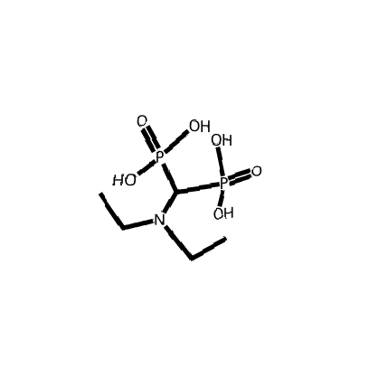 CCN(CC)C(P(=O)(O)O)P(=O)(O)O